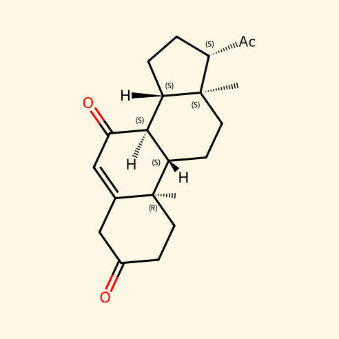 CC(=O)[C@H]1CC[C@H]2[C@@H]3C(=O)C=C4CC(=O)CC[C@]4(C)[C@H]3CC[C@]12C